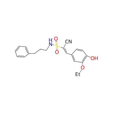 CCOc1cc(/C=C(\C#N)S(=O)(=O)NCCCc2ccccc2)ccc1O